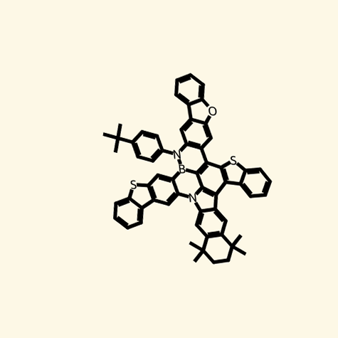 CC(C)(C)c1ccc(N2B3c4cc5sc6ccccc6c5cc4-n4c5cc6c(cc5c5c7c(sc8ccccc87)c(c3c54)-c3cc4oc5ccccc5c4cc32)C(C)(C)CCC6(C)C)cc1